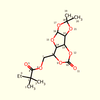 CCC(C)(C)C(=O)OCC1OC(=O)OC2C1OC1OC(C)(C)OC12